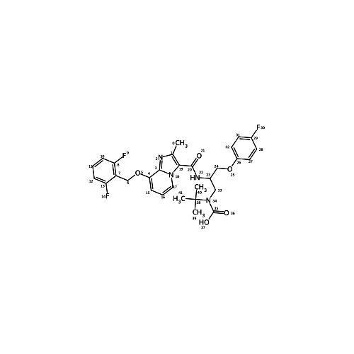 Cc1nc2c(OCc3c(F)cccc3F)cccn2c1C(=O)NC(COc1ccc(F)cc1)CN(C(=O)O)C(C)(C)C